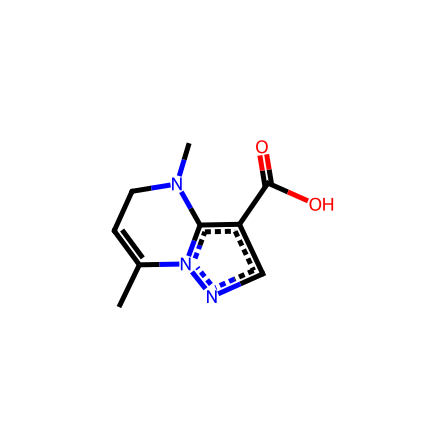 CC1=CCN(C)c2c(C(=O)O)cnn21